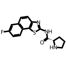 O=C(Nc1nc2ccc3cc(F)ccc3c2s1)[C@@H]1CCCN1